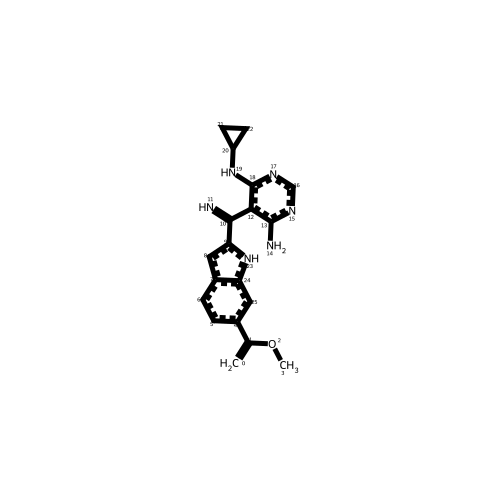 C=C(OC)c1ccc2cc(C(=N)c3c(N)ncnc3NC3CC3)[nH]c2c1